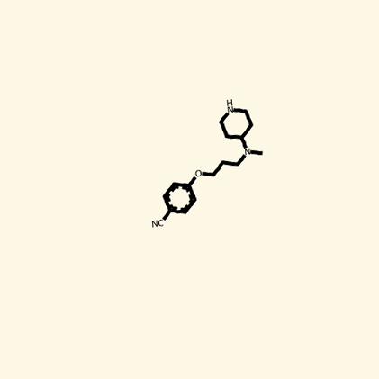 CN(CCCOc1ccc(C#N)cc1)C1CCNCC1